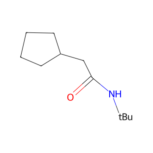 CC(C)(C)NC(=O)CC1CCCC1